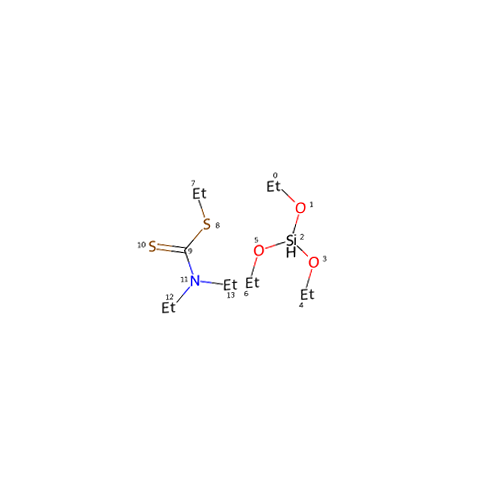 CCO[SiH](OCC)OCC.CCSC(=S)N(CC)CC